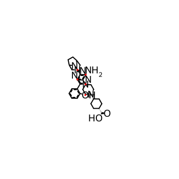 Nc1nnc(-c2ccccc2O)cc1N1CC2CCC(C1)N2c1ncc(C2CCN([C@H]3CC[C@@H](C(=O)O)CC3)CC2)cn1